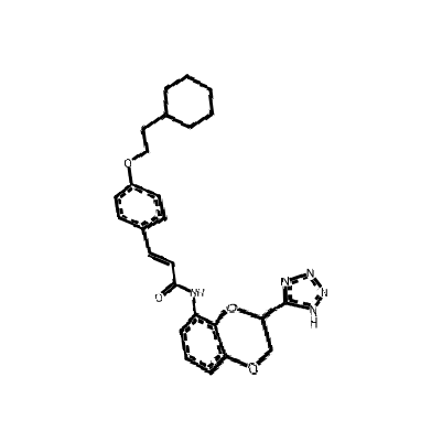 O=C(/C=C/c1ccc(OCCC2CCCCC2)cc1)Nc1cccc2c1OC(c1nnn[nH]1)CO2